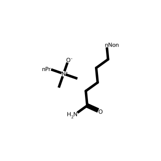 CCCCCCCCCCCCCC(N)=O.CCC[N+](C)(C)[O-]